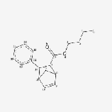 CCCCOC(=O)C1C2C=CC(C2)C1c1ccccc1